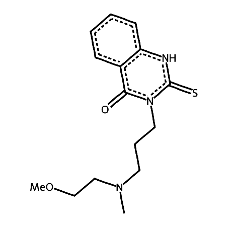 COCCN(C)CCCn1c(=S)[nH]c2ccccc2c1=O